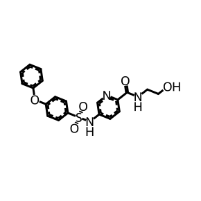 O=C(NCCO)c1ccc(NS(=O)(=O)c2ccc(Oc3ccccc3)cc2)cn1